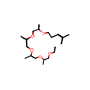 CCOCC(C)OCC(C)OCC(C)OCC(C)OCCCC(C)C